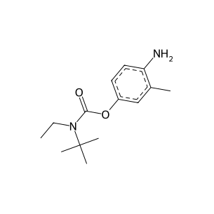 CCN(C(=O)Oc1ccc(N)c(C)c1)C(C)(C)C